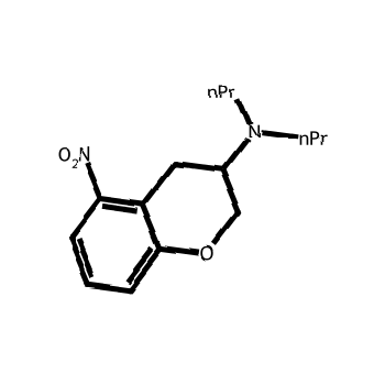 CCCN(CCC)C1COc2cccc([N+](=O)[O-])c2C1